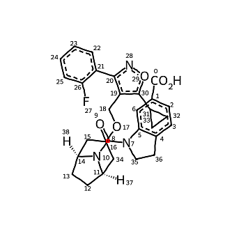 O=C(O)c1ccc2c(c1)N(C(=O)N1[C@@H]3CC[C@H]1CC(OCc1c(-c4ccccc4F)noc1C1CC1)C3)CC2